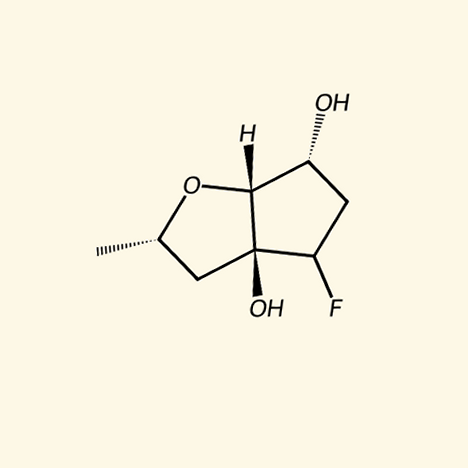 C[C@H]1C[C@@]2(O)C(F)C[C@@H](O)[C@H]2O1